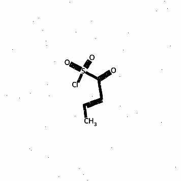 C/C=C/C(=O)S(=O)(=O)Cl